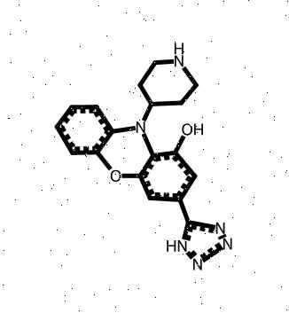 Oc1cc(-c2nnn[nH]2)cc2c1N(C1CCNCC1)c1ccccc1O2